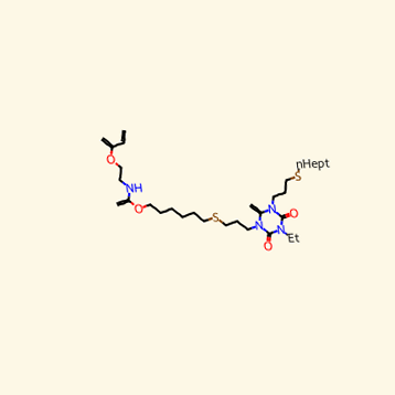 C=CC(=C)OCCNC(=C)OCCCCCCSCCCN1C(=C)N(CCCSCCCCCCC)C(=O)N(CC)C1=O